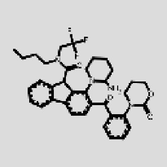 CCCCN(CC(F)(F)F)C(=O)C1c2ccccc2-c2ccc(C(=O)c3ccccc3N3CCCOC3=O)c(N3CCCCC3N)c21